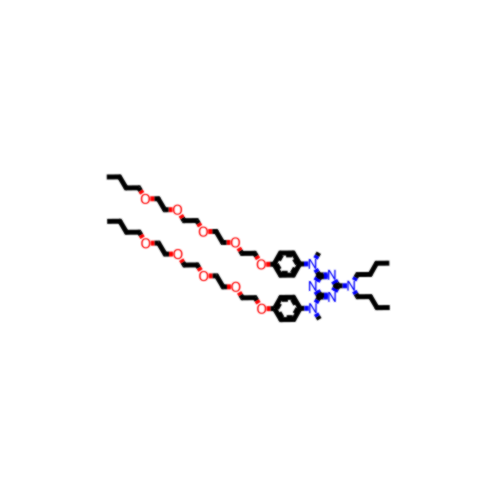 CCCCOCCOCCOCCOCCOc1ccc(N(C)c2nc(N(CCCC)CCCC)nc(N(C)c3ccc(OCCOCCOCCOCCOCCCC)cc3)n2)cc1